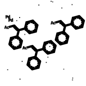 CC(=O)C=C(c1ccccc1)c1ccccc1.CC(=O)C=C(c1ccccc1)c1ccccc1.CC(=O)C=C(c1ccccc1)c1ccccc1.[Pd].[Pd]